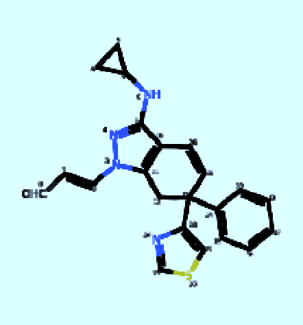 O=CC=Cn1nc(NC2CC2)c2c1CC(c1ccccc1)(c1cscn1)C=C2